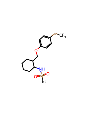 CCS(=O)(=O)NC1CCCCC1COc1ccc(SC(F)(F)F)cc1